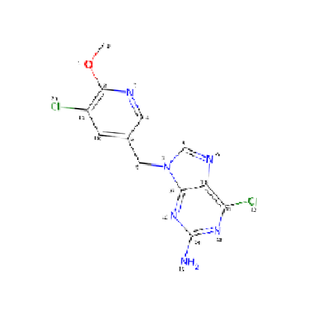 COc1ncc(Cn2cnc3c(Cl)nc(N)nc32)cc1Cl